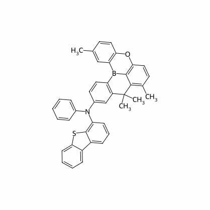 Cc1ccc2c(c1)B1c3ccc(N(c4ccccc4)c4cccc5c4sc4ccccc45)cc3C(C)(C)c3c(C)ccc(c31)O2